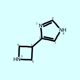 c1nc(C2CNC2)c[nH]1